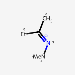 CC/C(C)=N\[N]C